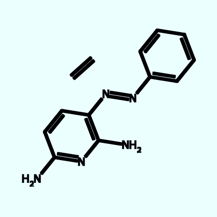 C=C.Nc1ccc(/N=N/c2ccccc2)c(N)n1